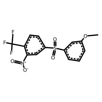 COc1cccc(S(=O)(=O)c2ccc(C(F)(F)F)c([N+](=O)[O-])c2)c1